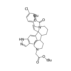 C=CC1(c2ccc3cn[nH]c3c2)C(C2CCN(CC(=O)OC(C)(C)C)CC2)CCC[N+]1(Cc1ccc(Cl)cc1)C(=O)OC(C)(C)C